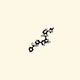 Cc1cn(-c2nccc3[nH]c(-c4n[nH]c5ncc(-c6cncc(NC(=O)c7ccccc7)c6)cc45)nc23)cn1